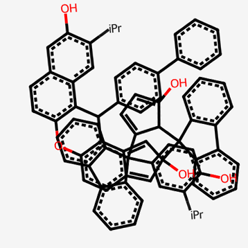 CC(C)c1cc(C2(C3=CC=C(O)C3C3(C4(O)C=c5ccc6c(c5=C4)C(c4ccc(-c5ccccc5)cc4)c4c(ccc5cc(O)c(C(C)C)cc45)O6)c4ccccc4-c4ccccc43)c3ccccc3-c3ccccc32)ccc1O